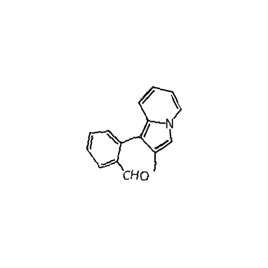 Cc1cn2ccccc2c1-c1ccccc1C=O